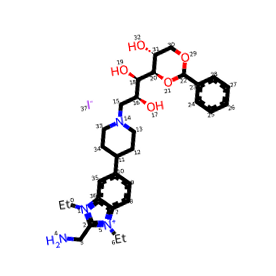 CCn1c(CN)[n+](CC)c2ccc(C3CCN(C[C@H](O)[C@@H](O)[C@@H]4OC(c5ccccc5)OC[C@H]4O)CC3)cc21.[I-]